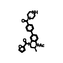 CC(=O)N1c2ccc(-c3ccc(C(=O)N4CCNCC4)cc3)cc2N(C(=O)c2ccco2)C[C@@H]1C